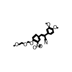 COCCOCOc1ccc(C=C(C#N)c2ccc(OC)c(OC)c2)cc1[N+](=O)[O-]